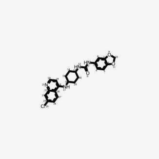 O=C(Nc1ccc2c(c1)OCO2)NC1CCC(Nc2ccnc3cc(Cl)ccc23)CC1